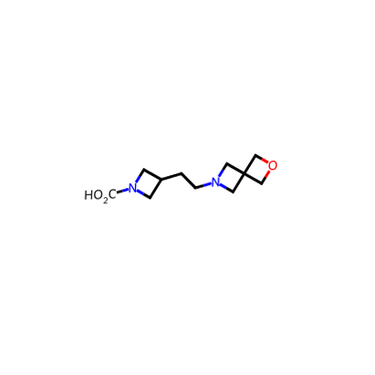 O=C(O)N1CC(CCN2CC3(COC3)C2)C1